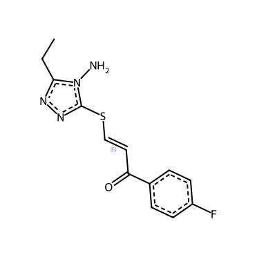 CCc1nnc(S/C=C/C(=O)c2ccc(F)cc2)n1N